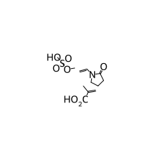 C=C(C)C(=O)O.C=CN1CCCC1=O.COS(=O)(=O)O